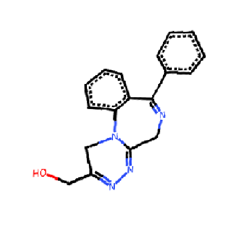 OCC1=NN=C2CN=C(c3ccccc3)c3ccccc3N2C1